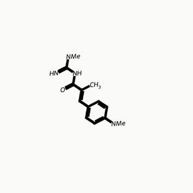 CNC(=N)NC(=O)/C(C)=C/c1ccc(NC)cc1